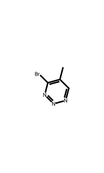 Cc1cnnnc1Br